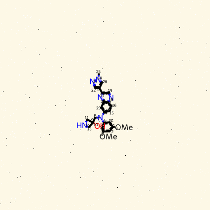 COc1cc(OC)cc(N(CC2(O)CNC2)c2ccc3ncc(-c4cnn(C)c4)nc3c2)c1